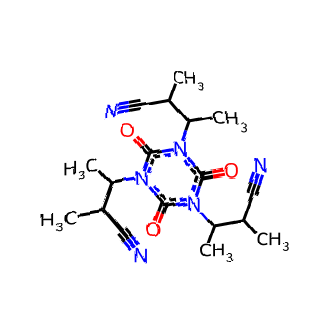 CC(C#N)C(C)n1c(=O)n(C(C)C(C)C#N)c(=O)n(C(C)C(C)C#N)c1=O